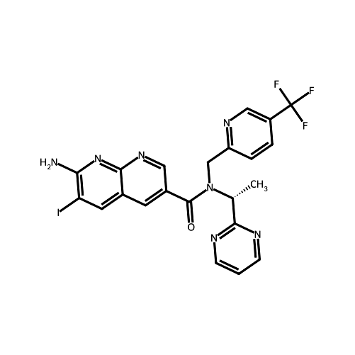 C[C@H](c1ncccn1)N(Cc1ccc(C(F)(F)F)cn1)C(=O)c1cnc2nc(N)c(I)cc2c1